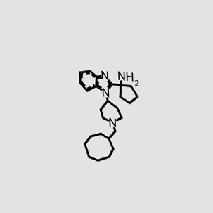 NC1(c2nc3ccccc3n2C2CCN(CC3CCCCCCC3)CC2)CCCC1